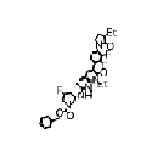 CCC1CCN(c2ccc(-c3cc4cnc(N[C@H]5C[C@H](F)CN(C(=O)OCc6ccccc6)C5)nc4n(CC)c3=O)c(F)c2F)C1=O